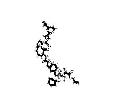 CCCOC(=O)[C@H](C)NP(=O)(Cc1ccc2sc(C(=O)N[C@H]3CCC[C@H]4CC[C@@H](C(=O)N5CC(c6nccc(C#N)n6)C5)N4C3=O)cc2c1)Oc1ccccc1